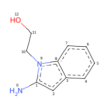 Nc1cc2ccccc2n1CCO